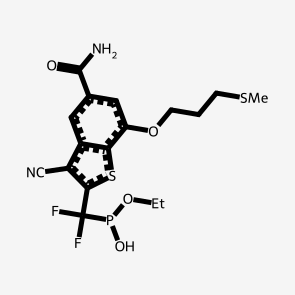 CCOP(O)C(F)(F)c1sc2c(OCCCSC)cc(C(N)=O)cc2c1C#N